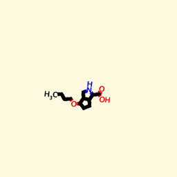 CCCCOC1CCC2C(C(=O)O)NCC12